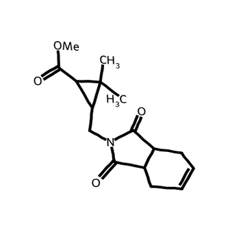 COC(=O)C1C(CN2C(=O)C3CC=CCC3C2=O)C1(C)C